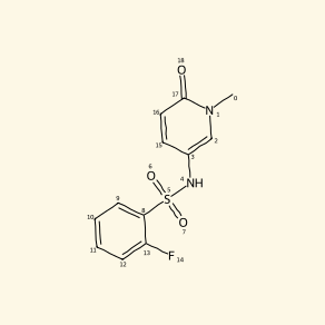 Cn1cc(NS(=O)(=O)c2ccccc2F)ccc1=O